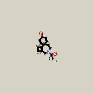 O=C1C=CC2(C=C1)CCN(C(=O)C(F)(F)F)CC1=C2CC1